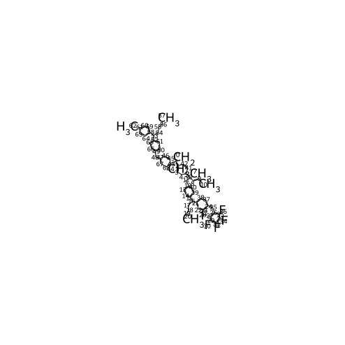 C=C(C1=CCC(C(C)(C=CC)Cc2ccc(C(CCCC)c3ccc(Cc4c(F)c(F)c(F)c(F)c4F)cc3)cc2)C=C1)C1(C)C=CC(Cc2ccc(C(CCCC)c3ccc(C)cc3)cc2)=CC1